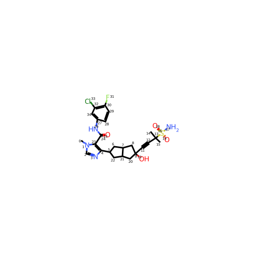 Cn1cnc(C2CC3CC(O)(C#CC(C)(C)S(N)(=O)=O)CC3C2)c1C(=O)Nc1ccc(F)c(Cl)c1